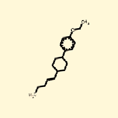 CCC/C=C/C1CCC(c2ccc(OCC)cc2)CC1